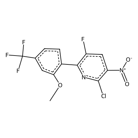 COc1cc(C(F)(F)F)ccc1-c1nc(Cl)c([N+](=O)[O-])cc1F